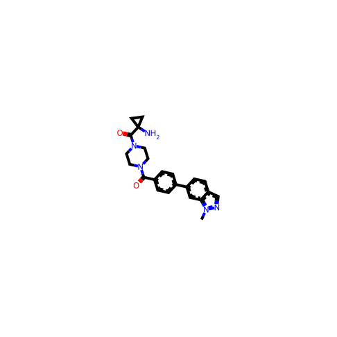 Cn1ncc2ccc(-c3ccc(C(=O)N4CCN(C(=O)C5(N)CC5)CC4)cc3)cc21